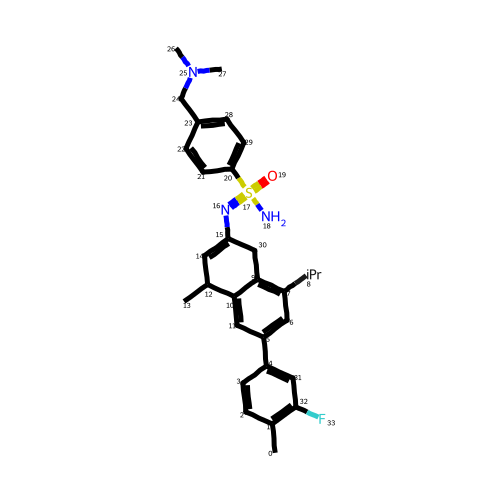 Cc1ccc(-c2cc(C(C)C)c3c(c2)C(C)C=C(N=S(N)(=O)c2ccc(CN(C)C)cc2)C3)cc1F